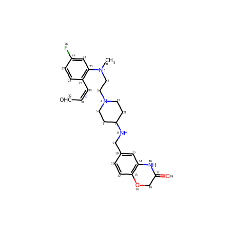 CN(CCN1CCC(NCc2ccc3c(c2)NC(=O)CO3)CC1)c1cc(F)ccc1/C=C\C=O